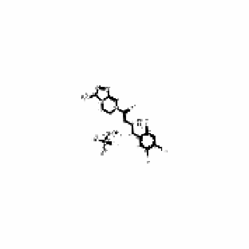 N[C@@H](CC(=O)N1C=C2N=NC(C(F)(F)F)N2CC1)Cc1cc(F)c(F)cc1F.O.O=P(O)(O)O